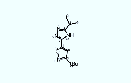 CC(I)c1nnc(-c2cc(C(C)(C)C)no2)[nH]1